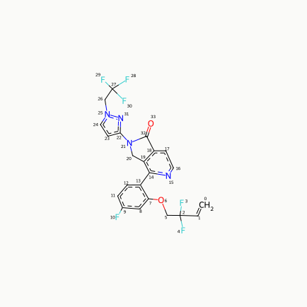 C=CC(F)(F)COc1cc(F)ccc1-c1nccc2c1CN(c1ccn(CC(F)(F)F)n1)C2=O